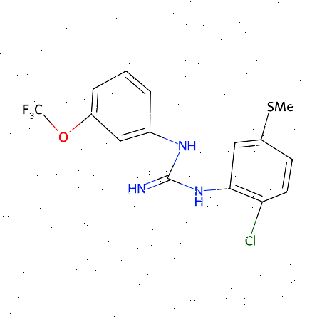 CSc1ccc(Cl)c(NC(=N)Nc2cccc(OC(F)(F)F)c2)c1